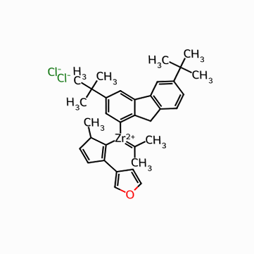 C[C](C)=[Zr+2]([C]1=C(c2ccoc2)C=CC1C)[c]1cc(C(C)(C)C)cc2c1Cc1ccc(C(C)(C)C)cc1-2.[Cl-].[Cl-]